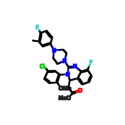 COC(=O)CC1c2cccc(F)c2N=C(N2CCN(c3ccc(F)c(C)c3)CC2)N1c1cc(Cl)ccc1OC